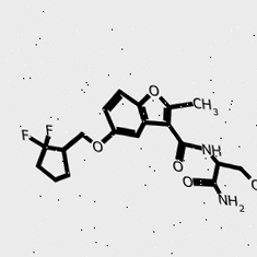 Cc1oc2ccc(OCC3CCCC3(F)F)cc2c1C(=O)NC(CO)C(N)=O